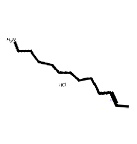 C/C=C/CCCCCCCCCN.Cl